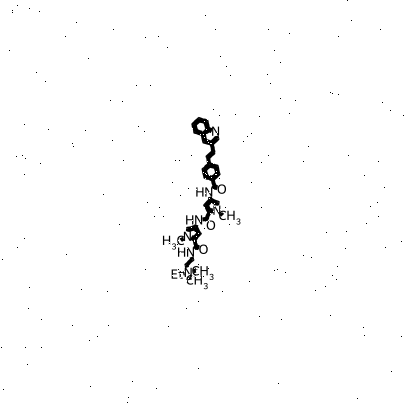 CC[N+](C)(C)CCNC(=O)c1cc(NC(=O)c2cc(NC(=O)c3ccc(C=Cc4cnc5ccccc5c4)cc3)cn2C)cn1C